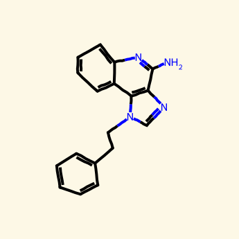 Nc1nc2ccccc2c2c1ncn2CCc1ccccc1